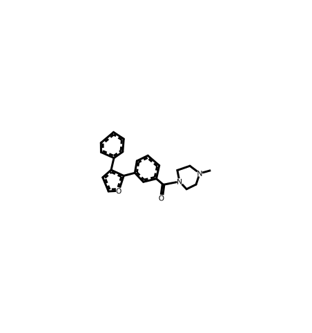 CN1CCN(C(=O)c2cccc(-c3occc3-c3ccccc3)c2)CC1